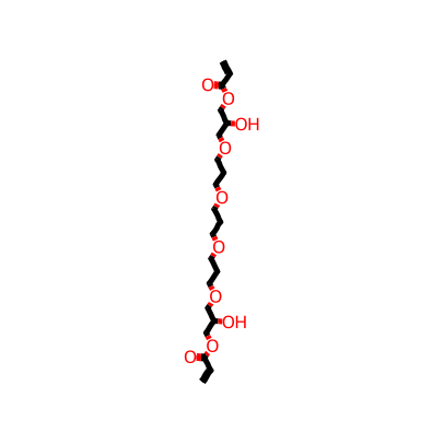 C=CC(=O)OCC(O)COCCCOCCCOCCCOCC(O)COC(=O)C=C